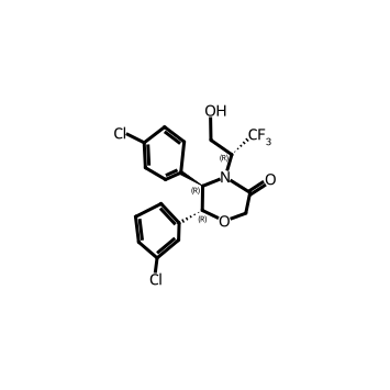 O=C1CO[C@H](c2cccc(Cl)c2)[C@@H](c2ccc(Cl)cc2)N1[C@H](CO)C(F)(F)F